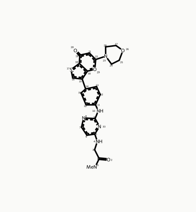 CNC(=O)CNc1ccnc(Nc2ccc(-c3csc4c(=O)cc(N5CCOCC5)oc34)cc2)n1